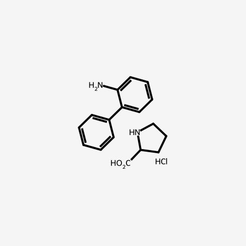 Cl.Nc1ccccc1-c1ccccc1.O=C(O)C1CCCN1